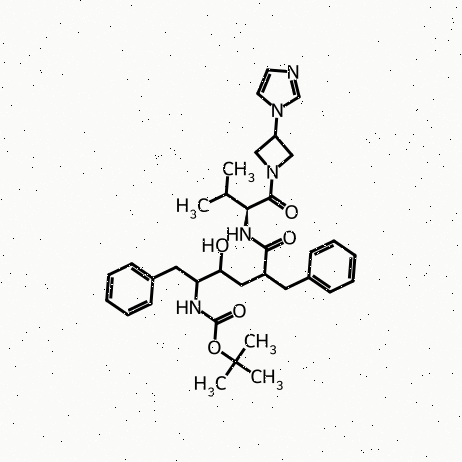 CC(C)[C@H](NC(=O)C(Cc1ccccc1)CC(O)C(Cc1ccccc1)NC(=O)OC(C)(C)C)C(=O)N1CC(n2ccnc2)C1